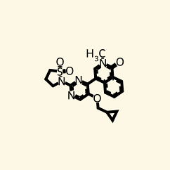 Cn1cc(-c2nc(N3CCCS3(=O)=O)ncc2OCC2CC2)c2ccccc2c1=O